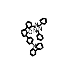 c1ccc(-c2nc(-c3ccccc3)nc(-c3cccc4c3oc3c(-c5ccc(-n6c7ccccc7c7ccccc76)cc5)cccc34)n2)cc1